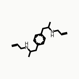 C=CCNC(C)Cc1ccc(CC(C)NCC=C)cc1